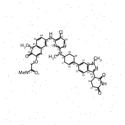 CNC(=O)COc1cc2cc(Nc3nc(N(C)C4CC=C(c5ccc6c(C7CCC(=O)NC7=O)nn(C)c6c5)CC4)ncc3Cl)ccc2n(C)c1=O